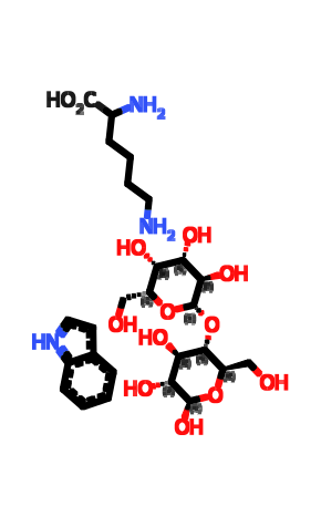 NCCCCC(N)C(=O)O.OC[C@H]1O[C@@H](O[C@H]2[C@H](O)[C@@H](O)[C@H](O)O[C@@H]2CO)[C@H](O)[C@@H](O)[C@H]1O.c1ccc2[nH]ccc2c1